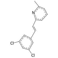 Cc1cccc(/C=C/c2cc(Cl)cc(Cl)c2)n1